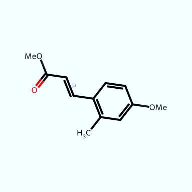 COC(=O)/C=C/c1ccc(OC)cc1C